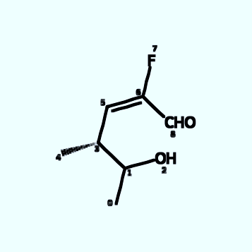 CC(O)[C@H](C)/C=C(/F)C=O